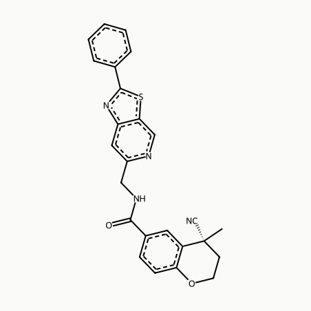 C[C@@]1(C#N)CCOc2ccc(C(=O)NCc3cc4nc(-c5ccccc5)sc4cn3)cc21